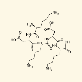 NCCCC[C@H](NC(=O)[C@H](CC(=O)O)NC(=O)[C@H](CCCCN)NC(=O)[C@H](CC(=O)O)NC(=O)[C@@H](N)CCCCN)C(=O)O